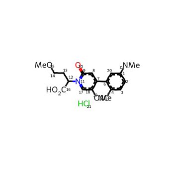 CNc1ccc(C#N)c(-c2cc(=O)n(C(CCOC)C(=O)O)cc2OC)c1.Cl